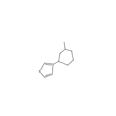 CC1CCCC(c2ccsc2)C1